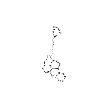 CC(C)c1ccc2nc3ccccn3c(=O)c2c1C(=O)NCCCCc1cncnc1